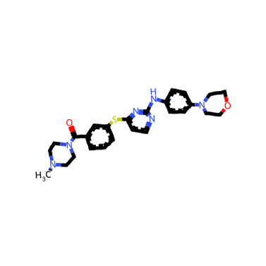 CN1CCN(C(=O)c2cccc(Sc3ccnc(Nc4ccc(N5CCOCC5)cc4)n3)c2)CC1